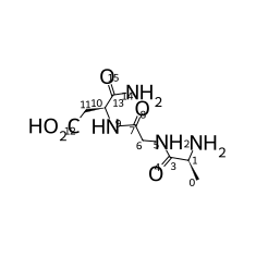 C[C@H](N)C(=O)NCC(=O)N[C@@H](CC(=O)O)C(N)=O